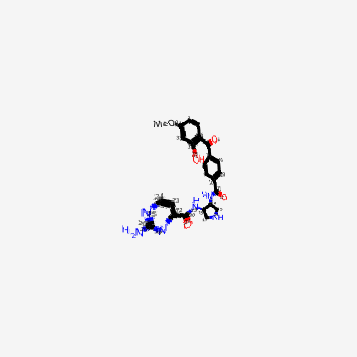 COc1ccc(C(=O)c2ccc(C(=O)NC3CNC[C@H]3NC(=O)c3ccnc(N)n3)cc2)c(O)c1